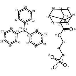 O=C(OCCCS(=O)(=O)[O-])C12CC3CC(CC(C3)C1)C2.c1ccc([S+](c2ccccc2)c2ccccc2)cc1